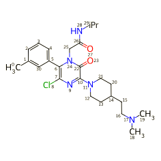 Cc1cccc(-c2c(Cl)nc(N3CCC(CCN(C)C)CC3)c(=O)n2CC(=O)NC(C)C)c1